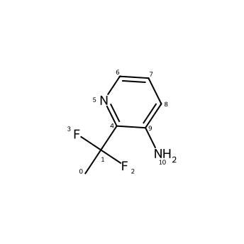 CC(F)(F)c1ncccc1N